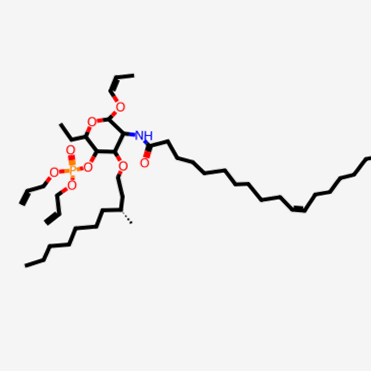 C=CCOP(=O)(OCC=C)OC1C(CC)OC(O/C=C\C)C(NC(=O)CCCCCCCCC/C=C\CCCCCC)C1OCC[C@H](C)CCCCCCC